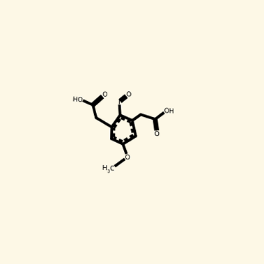 COc1cc(CC(=O)O)c(I=O)c(CC(=O)O)c1